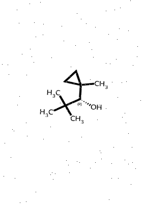 CC(C)(C)[C@@H](O)C1(C)CC1